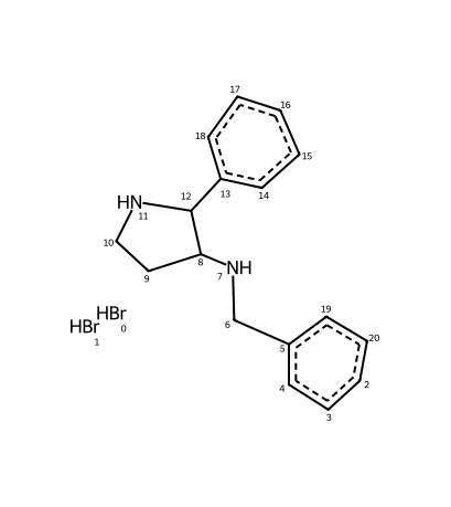 Br.Br.c1ccc(CNC2CCNC2c2ccccc2)cc1